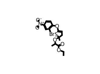 CCOC(=O)C(C)OC1(C)CC=C(Oc2ccc([N+](=O)[O-])cc2Br)S1